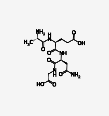 C[C@H](N)C(=O)N[C@@H](CCC(=O)O)C(=O)N[C@@H](CC(N)=O)C(=O)NCC(=O)O